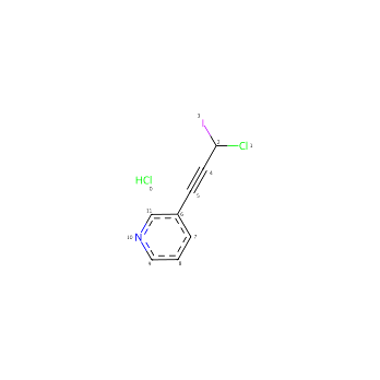 Cl.ClC(I)C#Cc1cccnc1